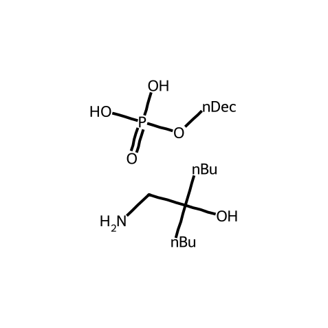 CCCCC(O)(CN)CCCC.CCCCCCCCCCOP(=O)(O)O